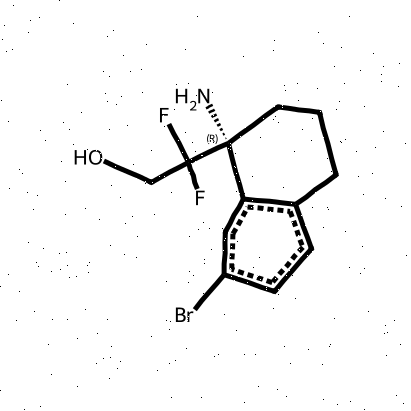 N[C@]1(C(F)(F)CO)CCCc2ccc(Br)cc21